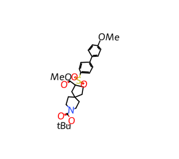 COC(=O)C1(S(=O)(=O)c2ccc(-c3ccc(OC)cc3)cc2)CCC2(CCN(C(=O)OC(C)(C)C)CC2)C1